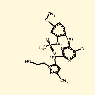 COc1ccc(Nc2nc(Nc3cc(C)nn3CCO)ncc2Cl)c(NS(C)(=O)=O)c1